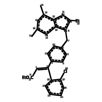 CCOC(=O)C=C(c1ccc(Cn2c(CC)nc3c(C)cc(C)nc32)cc1)c1ccccc1Cl